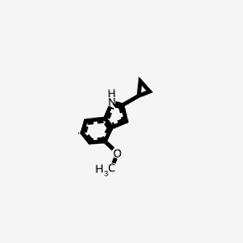 COc1c[c]cc2[nH]c(C3CC3)cc12